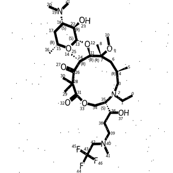 CCN1C[C@H](C)C[C@@](C)(OC)[C@H](O[C@@H]2O[C@H](C)C[C@H](N(C)C)[C@H]2O)[C@@H](C)C(=O)C(C)(C)C(=O)OC[C@H]1C(O)CCN(C)CC(F)(F)F